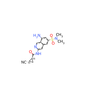 CN(C)S(=O)(=O)c1cc(N)c2cnc(NC(=O)[C@H]3C[C@@H]3C#N)cc2c1